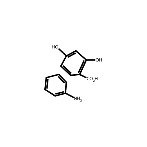 Nc1ccccc1.O=C(O)c1ccc(O)cc1O